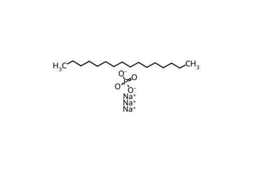 CCCCCCCCCCCCCCCC.O=P([O-])([O-])[O-].[Na+].[Na+].[Na+]